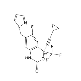 O=C1Nc2cc(Cn3cccn3)c(F)cc2[C@@](C#CC2CC2)(C(F)(F)F)O1